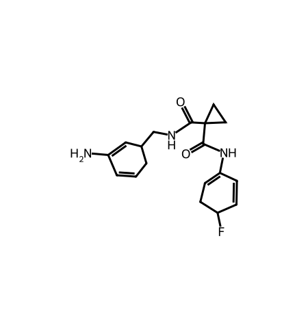 NC1=CC(CNC(=O)C2(C(=O)NC3=CCC(F)C=C3)CC2)CC=C1